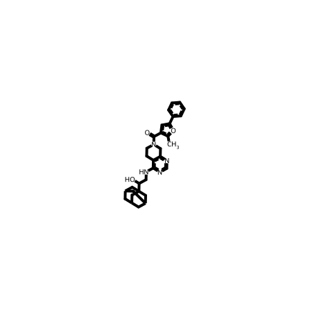 Cc1oc(-c2ccccc2)cc1C(=O)N1CCc2c(ncnc2NCC(O)C23CC4CC(CC(C4)C2)C3)C1